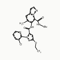 Cc1cc2ccnn2c(C(=O)NC(C)(C)C)c1NC(=O)c1cc(OCC(F)(F)F)nn1-c1ncccc1Cl